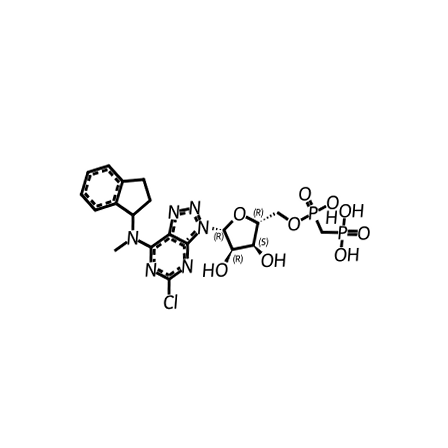 CN(c1nc(Cl)nc2c1nnn2[C@@H]1O[C@H](COP(=O)(O)CP(=O)(O)O)[C@@H](O)[C@H]1O)C1CCc2ccccc21